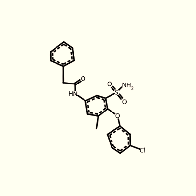 Cc1cc(NC(=O)Cc2ccccc2)cc(S(N)(=O)=O)c1Oc1cccc(Cl)c1